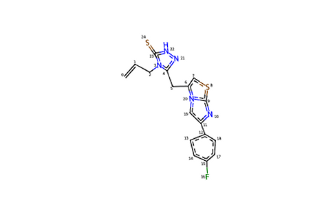 C=CCn1c(Cc2csc3nc(-c4ccc(F)cc4)cn23)n[nH]c1=S